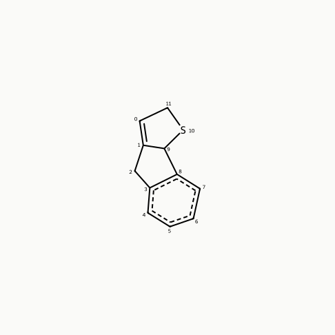 C1=C2Cc3ccccc3C2SC1